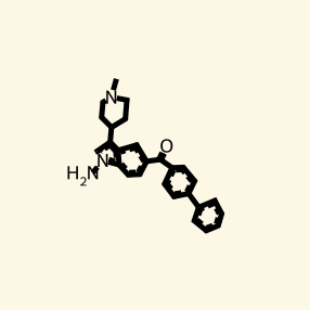 CN1CCC(c2cn(N)c3ccc(C(=O)c4ccc(-c5ccccc5)cc4)cc23)CC1